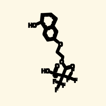 O=C(OCCOc1ccc2c(O)cccc2c1)C(C(F)(F)F)(C(F)(F)F)S(=O)(=O)O